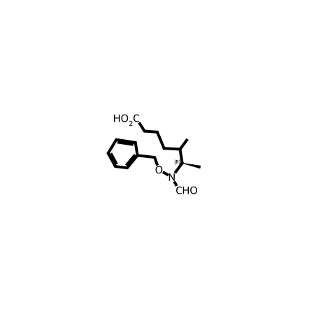 CC(CCCC(=O)O)[C@@H](C)N(C=O)OCc1ccccc1